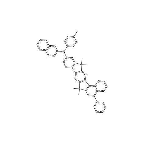 Cc1ccc(N(c2ccc3c(c2)C(C)(C)c2cc4c(cc2-3)C(C)(C)c2cc(-c3ccccc3)c3ccccc3c2-4)c2ccc3ccccc3c2)cc1